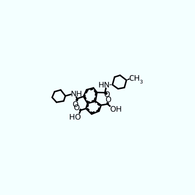 C[C@H]1CC[C@H](NC(=O)c2ccc(C(=O)NC3CCCCC3)c3c(C(=O)O)ccc(C(=O)O)c23)CC1